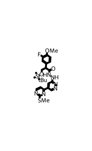 COc1ccc(C(CO[Si](C)(C)C(C)(C)C)C(=O)NNc2cc(-c3ccnc(SC)n3)cnn2)cc1F